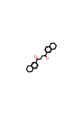 O=C(CCC(=O)c1ccc2c(c1)CCCC2)c1ccc2c(c1)CCCC2